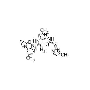 Cc1cc(N2CC3CC3C2=O)c2nc([C@@H](C)Nc3cc(NC(=O)[C@H]4C[C@@H]4c4nccc(C)n4)nc(C)n3)cn2c1